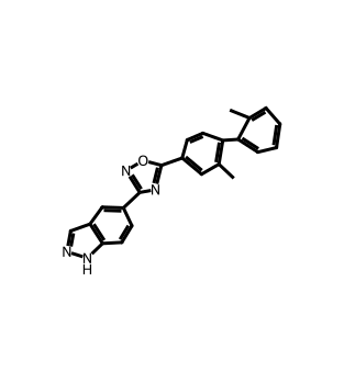 Cc1ccccc1-c1ccc(-c2nc(-c3ccc4[nH]ncc4c3)no2)cc1C